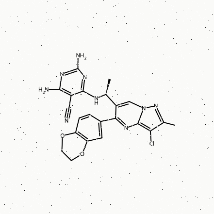 Cc1nn2cc([C@H](C)Nc3nc(N)nc(N)c3C#N)c(-c3ccc4c(c3)OCCO4)nc2c1Cl